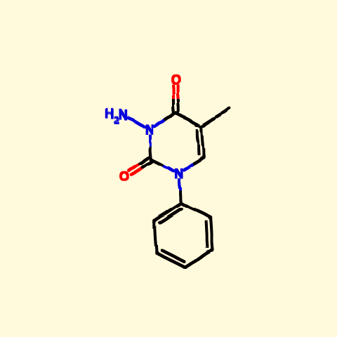 Cc1cn(-c2ccccc2)c(=O)n(N)c1=O